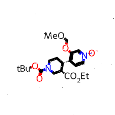 CCOC(=O)[C@H]1CN(C(=O)OC(C)(C)C)CC[C@@H]1c1cc[n+]([O-])cc1OCOC